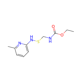 CCOC(=O)NCSNc1cccc(C)n1